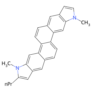 CCCc1cc2cc3ccc4c5cc6c(ccn6C)cc5ccc4c3cc2n1C